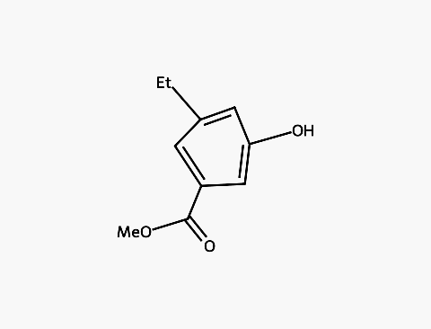 CCc1cc(O)cc(C(=O)OC)c1